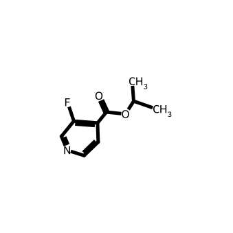 CC(C)OC(=O)c1ccncc1F